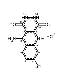 Cl.Nc1c2ccc(Cl)cc2nc2c(=O)[nH][nH]c(=O)c12